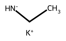 CC[NH-].[K+]